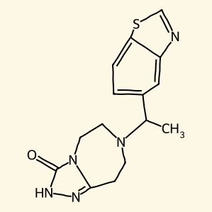 CC(c1ccc2scnc2c1)N1CCc2n[nH]c(=O)n2CC1